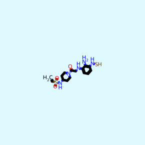 C=CS(=O)(=O)NC1CCN(C(=O)CNc2cccc(NS)c2N)CC1